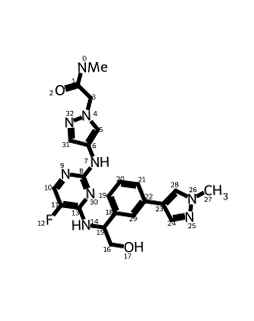 CNC(=O)Cn1cc(Nc2ncc(F)c(NC(CO)c3cccc(-c4cnn(C)c4)c3)n2)cn1